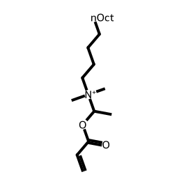 C=CC(=O)OC(C)[N+](C)(C)CCCCCCCCCCCC